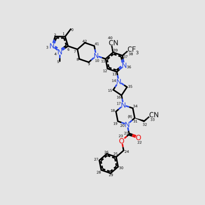 Cc1cnn(C)c1C1CCN(c2cc(N3CC(N4CCN(C(=O)OCc5ccccc5)[C@H](CC#N)C4)C3)nc(C(F)(F)F)c2C#N)CC1